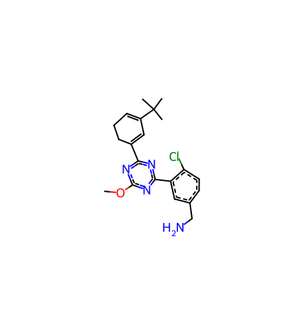 COc1nc(C2=CC(C(C)(C)C)=CCC2)nc(-c2cc(CN)ccc2Cl)n1